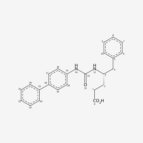 O=C(O)CC[C@@H](Cc1ccccc1)NC(=O)Nc1ccc(-c2ccccc2)cc1